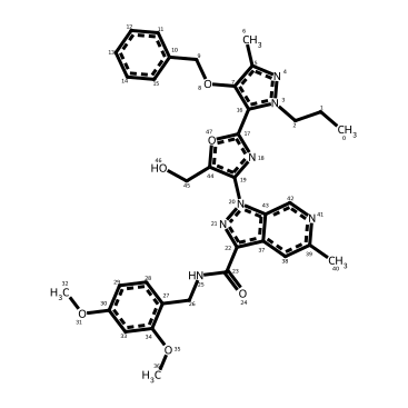 CCCn1nc(C)c(OCc2ccccc2)c1-c1nc(-n2nc(C(=O)NCc3ccc(OC)cc3OC)c3cc(C)ncc32)c(CO)o1